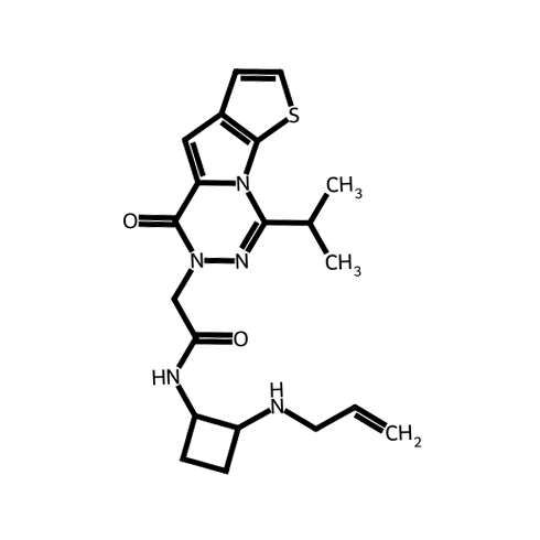 C=CCNC1CCC1NC(=O)Cn1nc(C(C)C)n2c(cc3ccsc32)c1=O